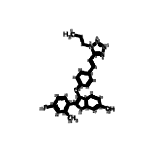 CCCn1nnnc1C=Cc1ccc(Oc2c(-c3ccc(F)cc3C)sc3cc(O)ccc23)cc1